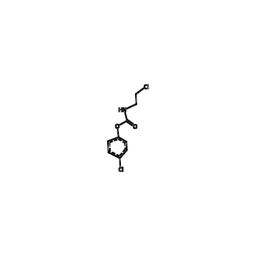 O=C(NCCCl)Oc1ccc(Cl)cc1